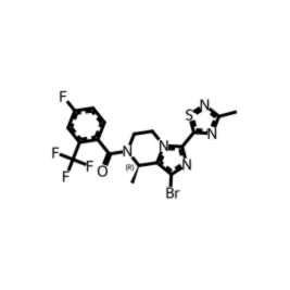 Cc1nsc(-c2nc(Br)c3n2CCN(C(=O)c2ccc(F)cc2C(F)(F)F)[C@@H]3C)n1